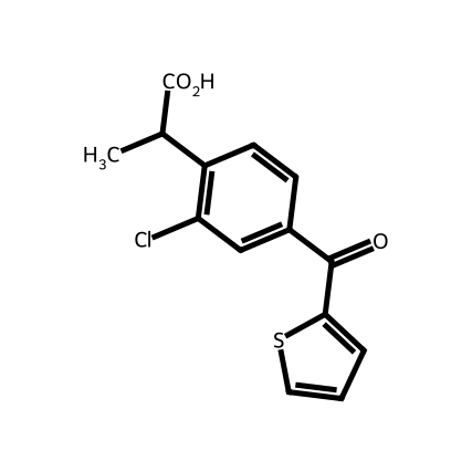 CC(C(=O)O)c1ccc(C(=O)c2cccs2)cc1Cl